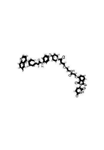 C[C@@H](C(=O)Nc1ccc(OC2CCN(C(=O)CCOCCNC(=O)COc3cccc4c3C(=O)N(C3CCC(=O)NC3=O)C4=O)CC2)cc1)[C@H]1CC[C@@H](c2ccnc3ccc(F)cc32)CC1